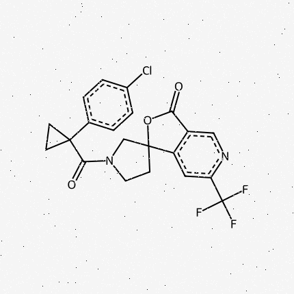 O=C1OC2(CCN(C(=O)C3(c4ccc(Cl)cc4)CC3)C2)c2cc(C(F)(F)F)ncc21